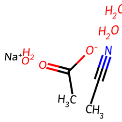 CC#N.CC(=O)[O-].O.O.O.[Na+]